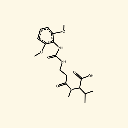 COc1cccc(OC)c1NC(=S)NCCC(=O)N(C)C(C(=O)O)C(C)C